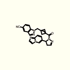 N#Cc1ccc2c(cnn2CC23CC(C(=O)N4N=CCC4c4ccc5nccn5c4)(C2)C3)c1